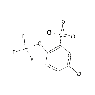 O=S(=O)(Cl)c1cc(Cl)ccc1OC(F)(F)F